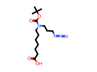 CC(C)(C)OC(=O)N(CCCCCCC(=O)O)CCCN=[N+]=[N-]